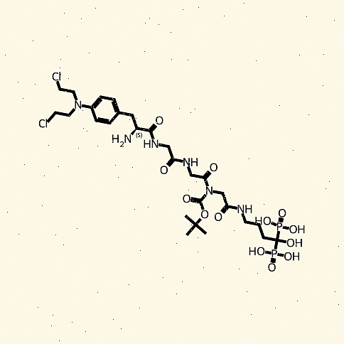 CC(C)(C)OC(=O)N(CC(=O)NCCCC(O)(P(=O)(O)O)P(=O)(O)O)C(=O)CNC(=O)CNC(=O)[C@@H](N)Cc1ccc(N(CCCl)CCCl)cc1